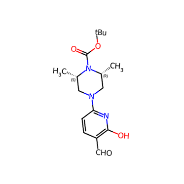 C[C@@H]1CN(c2ccc(C=O)c(O)n2)C[C@H](C)N1C(=O)OC(C)(C)C